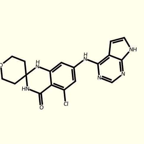 O=C1NC2(CCOCC2)Nc2cc(Nc3ncnc4[nH]ccc34)cc(Cl)c21